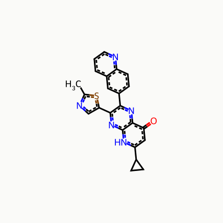 Cc1ncc(-c2nc3[nH]c(C4CC4)cc(=O)c3nc2-c2ccc3ncccc3c2)s1